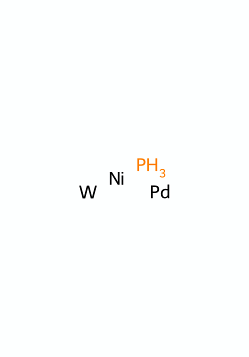 P.[Ni].[Pd].[W]